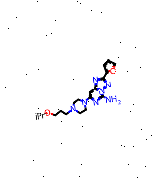 CC(C)OCCCN1CCN(c2cc3nc(-c4ccco4)nn3c(N)n2)CC1